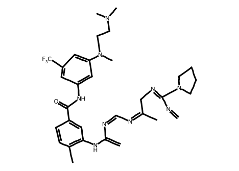 C=N/C(=N\C/C(C)=N\C=N/C(=C)Nc1cc(C(=O)Nc2cc(N(C)CCN(C)C)cc(C(F)(F)F)c2)ccc1C)N1CCCC1